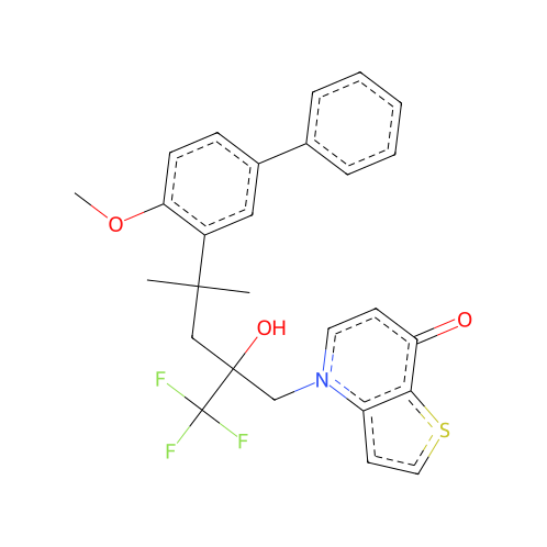 COc1ccc(-c2ccccc2)cc1C(C)(C)CC(O)(Cn1ccc(=O)c2sccc21)C(F)(F)F